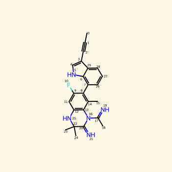 CC#Cc1c[nH]c2c(-c3c(F)cc4c(c3C)N(C(C)=N)C(=N)C(C)(C)N4)cccc12